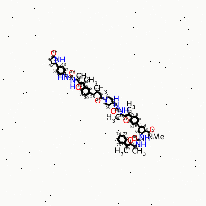 CNC(=O)C1CC(c2ccc3c(C)c(C(C)NC(=O)NC4CCN(C(=O)CC(C)Cc5ccc6oc(C(C)NC(=O)Nc7ccc(C8CCC(=O)N8)cc7)c(C)c6c5)CC4)oc3c2)CC1NC(=O)NC(C)c1oc2ccccc2c1C